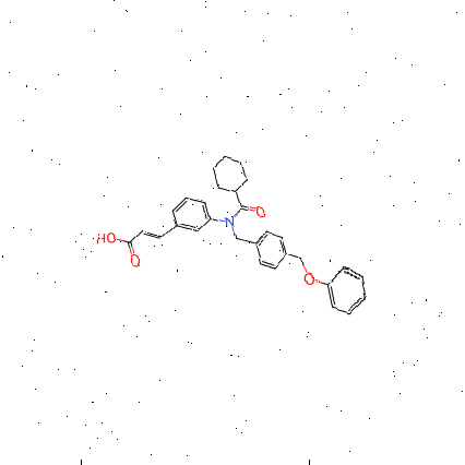 O=C(O)C=Cc1cccc(N(Cc2ccc(COc3ccccc3)cc2)C(=O)C2CCCCC2)c1